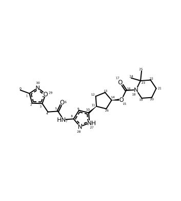 Cc1cc(CC(=O)Nc2cc([C@H]3CC[C@@H](OC(=O)N4CCCCC4(C)C)C3)[nH]n2)on1